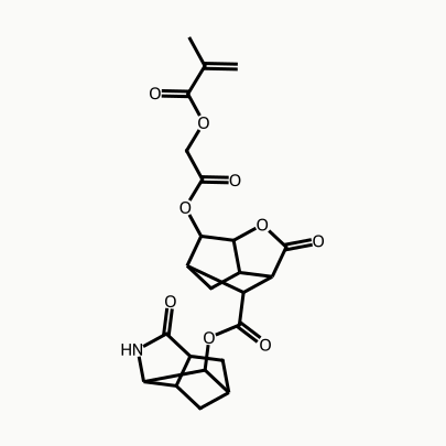 C=C(C)C(=O)OCC(=O)OC1C2CC3C1OC(=O)C3C2C(=O)OC1C2CC3C(=O)NC1C3C2